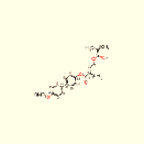 C=C(C)C(=O)OCCC(=C)C(=O)Oc1ccc(-c2ccc(OC=O)cc2)cc1